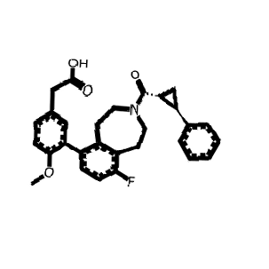 COc1ccc(CC(=O)O)cc1-c1ccc(F)c2c1CCN(C(=O)[C@@H]1C[C@H]1c1ccccc1)CC2